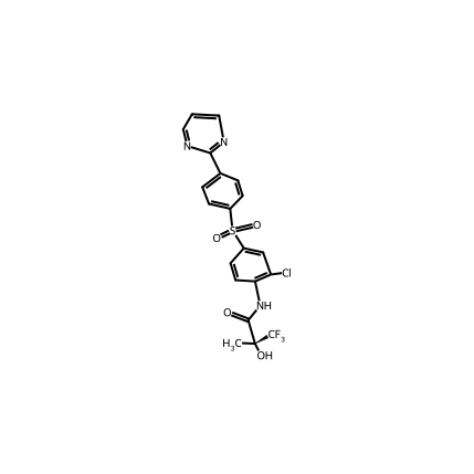 C[C@@](O)(C(=O)Nc1ccc(S(=O)(=O)c2ccc(-c3ncccn3)cc2)cc1Cl)C(F)(F)F